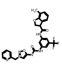 Cc1cccc2c1OCC2C(=O)Nc1cc(NC(=O)[N-]c2c[n+](Cc3ccccn3)no2)cc(C(F)(F)F)c1